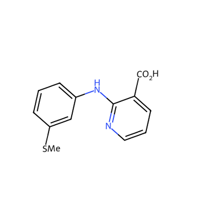 CSc1cccc(Nc2ncccc2C(=O)O)c1